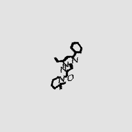 CCc1cc(C2CCCCC2)nc2cc(C(=O)N3CCCCC3(C)C)nn12